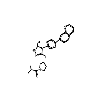 CC(C)C(=O)N1CC[C@@H](CC2=NNC(O)N2c2ccc(-c3ccc4cccnc4c3)cc2)C1